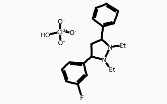 CCN1C(c2ccccc2)CC(c2cccc(F)c2)N1CC.[O-][Cl+3]([O-])([O-])O